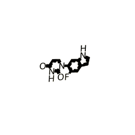 O=c1ccn(-c2cc3[nH]ccc3cc2F)c(=O)[nH]1